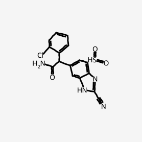 N#Cc1nc2c([SH](=O)=O)cc(C(C(N)=O)c3ccccc3Cl)cc2[nH]1